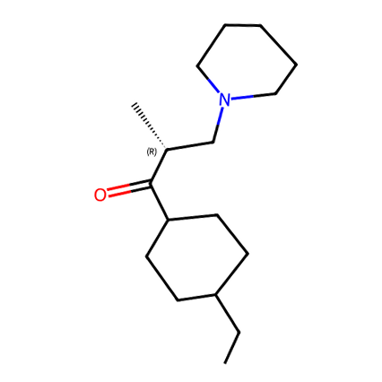 CCC1CCC(C(=O)[C@H](C)CN2CCCCC2)CC1